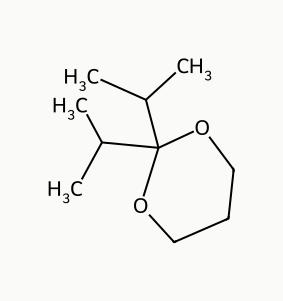 CC(C)C1(C(C)C)OCCCO1